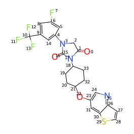 O=C1CN(c2cc(F)cc(C(F)(F)F)c2)C(=O)N1C1CCC(Oc2cnc3ccsc3c2)CC1